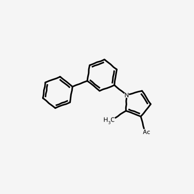 CC(=O)c1ccn(-c2cccc(-c3ccccc3)c2)c1C